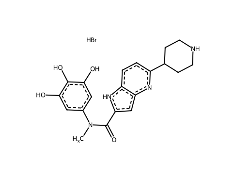 Br.CN(C(=O)c1cc2nc(C3CCNCC3)ccc2[nH]1)c1cc(O)c(O)c(O)c1